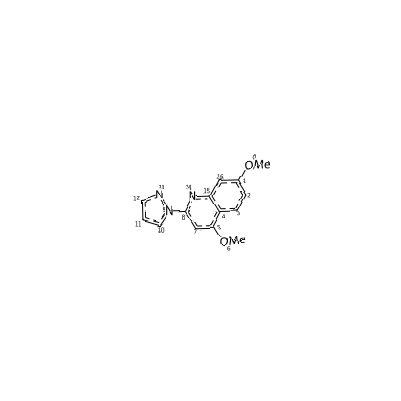 COc1ccc2c(OC)cc(-n3cccn3)nc2c1